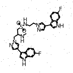 CNC(Cn1cc(-c2c[nH]c3cc(F)ccc23)cn1)CS(=O)(=O)NCCn1cc(-c2c[nH]c3cc(F)ccc23)cn1